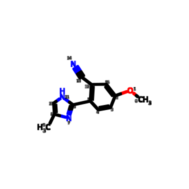 COc1ccc(-c2nc(C)c[nH]2)c(C#N)c1